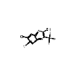 FC(F)(F)c1nc2cc(Cl)c(Cl)cc2nc1S